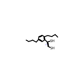 CCCCc1ccc(CCCC)c(/C(S)=C/S)c1